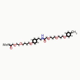 CNC(=O)COCCOCCCCOc1ccc(CCNC(=O)COCCCOCCCOc2ccc(C)cc2)cc1